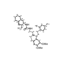 COc1cc2c(cc1OC)C(CCc1ccc(F)cc1F)N(CCNC(=O)Nc1cc3ccccc3nc1C)CC2